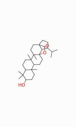 CC(C)C1CCC23CCC4(C)C5(C)CCC6C(C)(C)C(O)CCC6(C)C5CCC4(OC2=O)C13